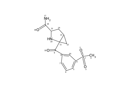 CS(=O)(=O)c1cccc(C(=O)C23CC2CC(C(N)=O)N3)c1